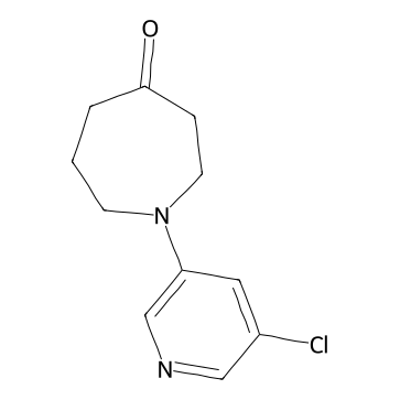 O=C1CCCN(c2cncc(Cl)c2)CC1